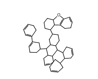 C1=CCCC(C2=CCCC(C3C4CC=CCC4C(C4CC=CCC4C4CC=CCC4)C4CCC(C5CCCC6OC7=C(CCC=C7)C65)CC43)C2)=C1